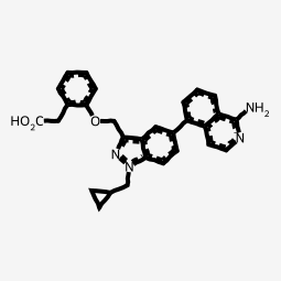 Nc1nccc2c(-c3ccc4c(c3)c(COc3ccccc3CC(=O)O)nn4CC3CC3)cccc12